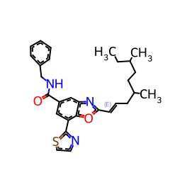 CCC(C)CCC(C)C/C=C/c1nc2cc(C(=O)NCc3ccccc3)cc(-c3nccs3)c2o1